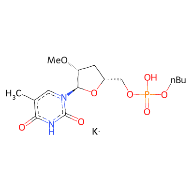 CCCCOP(=O)(O)OC[C@H]1C[C@@H](OC)[C@H](n2cc(C)c(=O)[nH]c2=O)O1.[K]